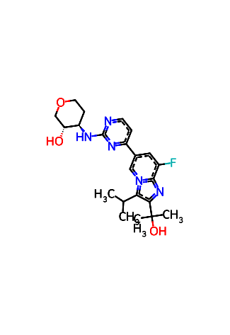 CC(C)c1c(C(C)(C)O)nc2c(F)cc(-c3ccnc(N[C@@H]4CCOC[C@H]4O)n3)cn12